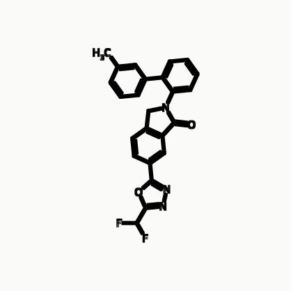 Cc1cccc(-c2ccccc2N2Cc3ccc(-c4nnc(C(F)F)o4)cc3C2=O)c1